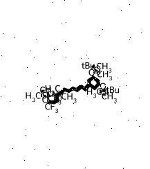 CC(C)(C/C=C\C(O[Si](C)(C)C)(C(F)(F)F)C(F)(F)F)CCC/C=C/C=C1C[C@@H](O[Si](C)(C)C(C)(C)C)C[C@H](O[Si](C)(C)C(C)(C)C)C1